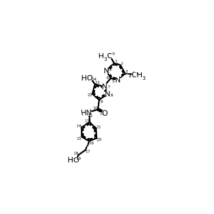 Cc1cc(C)nc(-n2nc(C(=O)Nc3ccc(CCO)cc3)cc2O)n1